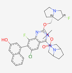 CC(C)(C)OC(=O)N1C2CCC1CN(c1nc(OC[C@]34CCCN3C[C@H](F)C4)nc3c(F)c(-c4cc(O)cc5ccccc45)c(Cl)cc13)C2